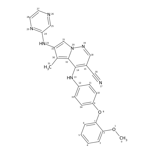 COc1ccccc1Oc1ccc(Nc2c(C#N)cnn3cc(Nc4cnccn4)c(C)c23)cc1